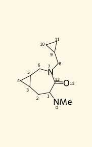 CNC1CC2CC2CN(CC2CC2)C1=O